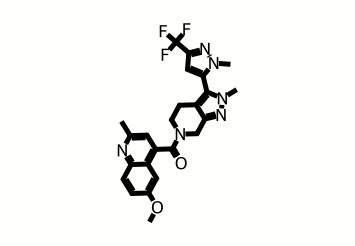 COc1ccc2nc(C)cc(C(=O)N3CCc4c(nn(C)c4-c4cc(C(F)(F)F)nn4C)C3)c2c1